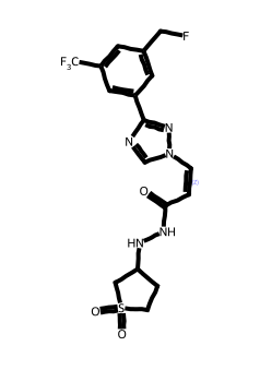 O=C(/C=C\n1cnc(-c2cc(CF)cc(C(F)(F)F)c2)n1)NNC1CCS(=O)(=O)C1